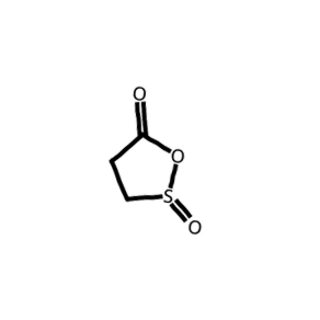 O=C1CCS(=O)O1